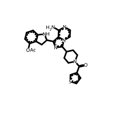 CC(=O)Oc1cccc2c1CC(c1nc(C3CCN(C(=O)c4ccsc4)CC3)n3ccnc(N)c13)N2